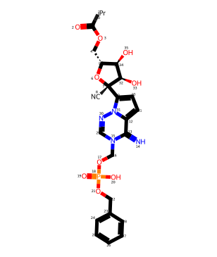 CC(C)C(=O)OC[C@H]1O[C@@](C#N)(c2ccc3c(=N)n(COP(=O)(O)OCc4ccccc4)cnn23)[C@H](O)[C@@H]1O